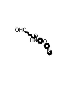 O=CCCCCCC(=O)Nc1ccc(Oc2ccc(-n3cccc3)cc2)cc1